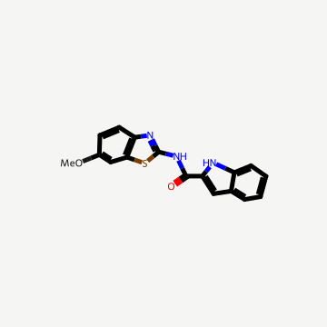 COc1ccc2nc(NC(=O)c3cc4ccccc4[nH]3)sc2c1